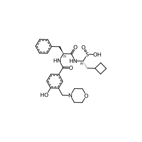 O=C(N[C@@H](Cc1ccccc1)C(=O)N[C@@H](CC1CCC1)S(=O)O)c1ccc(O)c(CN2CCOCC2)c1